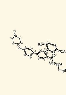 CC(C)CNNC(=O)c1ccc(-c2ccc(CN3CCN(C)CC3)cc2)nc1-c1nc(C#N)ncc1Br